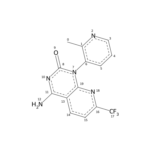 Cc1ncccc1-n1c(=O)nc(N)c2ccc(C(F)(F)F)nc21